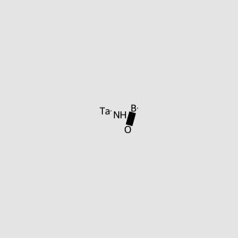 N.[B]=O.[Ta]